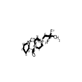 CC(F)(F)CN1CCN(C(=O)[C@@H]2CCCN2C(=O)O)CC1